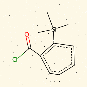 C[Si](C)(C)c1ccccc1C(=O)Cl